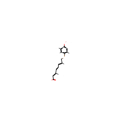 COc1cc(C)c(SC/C(C)=C/C=C/C(C)=C/C(=O)O)c(C)c1C